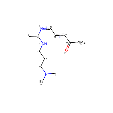 CCN(C)CCCNC(C)/N=C\C=C\C(=O)NC